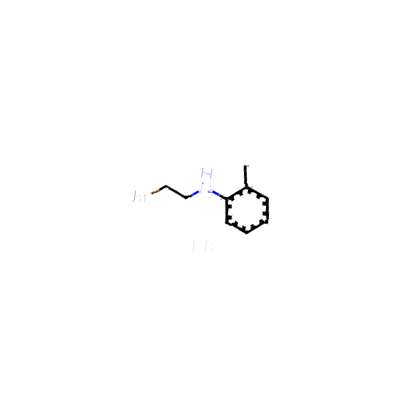 Br.Cc1ccccc1NCCBr